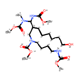 CCCCN(C(=O)OC(C)(C)C)C(NC(=O)OC(C)(C)C)C(CCCCCCO)CN(CCCCNC(=O)OC(C)(C)C)C(=O)OC(C)(C)C